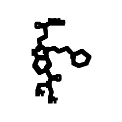 CNC(=O)CCc1nc2ccc(C(=O)N(CC(C)C)CC(C)C)cc2n1CCCN1CCCCC1